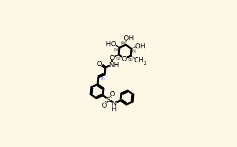 C[C@@H]1O[C@@H](ONC(=O)/C=C/c2cccc(S(=O)(=O)Nc3ccccc3)c2)[C@@H](O)[C@H](O)[C@@H]1O